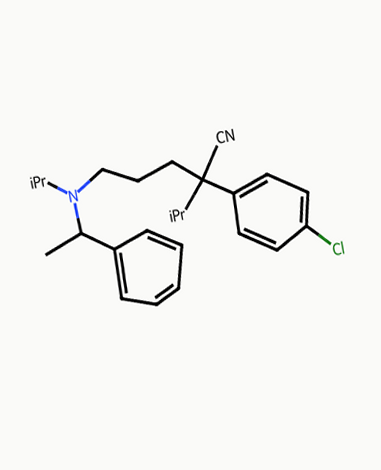 CC(C)N(CCCC(C#N)(c1ccc(Cl)cc1)C(C)C)C(C)c1ccccc1